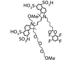 COCCOCCOCCOCCC1(C)C(/C=C/C=C2/N(CCCCCC(=O)Oc3c(F)c(F)cc(F)c3F)c3ccc4c(S(=O)(=O)O)cc(S(=O)(=O)O)cc4c3C2(C)C)=[N+](CCOC)c2ccc3c(S(=O)(=O)O)cc(S(=O)(=O)O)cc3c21